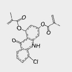 C=C(C)C(=O)Oc1cc(OC(=O)C(=C)C)c2c(=O)c3cccc(Cl)c3[nH]c2c1